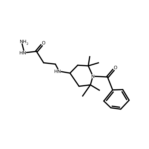 CC1(C)CC(NCCC(=O)NN)CC(C)(C)N1C(=O)c1ccccc1